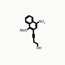 COc1c(C#CCCO)cc([N+](=O)[O-])c2ccccc12